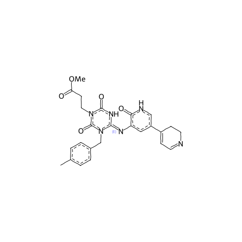 COC(=O)CCn1c(=O)[nH]/c(=N\c2cc(C3=CC=NCC3)c[nH]c2=O)n(Cc2ccc(C)cc2)c1=O